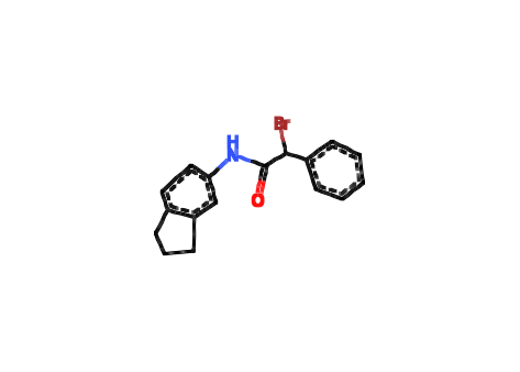 O=C(Nc1ccc2c(c1)CCC2)C(Br)c1ccccc1